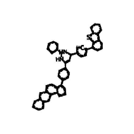 C1=C(c2ccc(-c3cccc4c3ccc3cc5ccccc5cc34)cc2)NC(c2ccccc2)NC1c1ccc(-c2cccc3c2sc2ccccc23)cc1